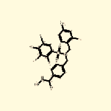 Cc1ccc(CN(Cc2ccc(C(O)NO)cc2)S(=O)(=O)c2cc(F)c(F)c(F)c2F)c(F)c1